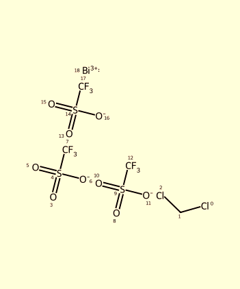 ClCCl.O=S(=O)([O-])C(F)(F)F.O=S(=O)([O-])C(F)(F)F.O=S(=O)([O-])C(F)(F)F.[Bi+3]